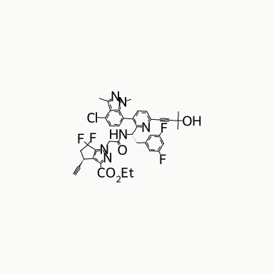 C#C[C@H]1CC(F)(F)c2c1c(C(=O)OCC)nn2CC(=O)N[C@@H](Cc1cc(F)cc(F)c1)c1nc(C#CC(C)(C)O)ccc1-c1ccc(Cl)c2c(C)nn(C)c12